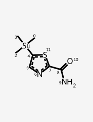 C[Si](C)(C)c1cnc(C(N)=O)s1